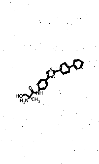 C[C@](N)(CO)C(=O)Nc1ccc(-c2csc(-c3ccc(-c4ccccc4)cc3)n2)cc1